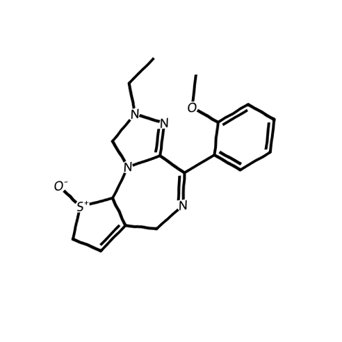 CCN1CN2C(=N1)C(c1ccccc1OC)=NCC1=CC[S+]([O-])C12